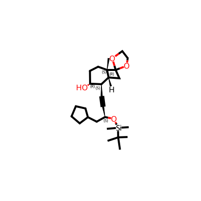 CC(C)(C)[Si](C)(C)O[C@H](C#C[C@H]1[C@H](O)CC[C@@]2(C)[C@@H]1CC21OCCO1)CC1CCCC1